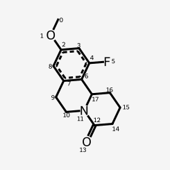 COc1cc(F)c2c(c1)CCN1C(=O)CCCC21